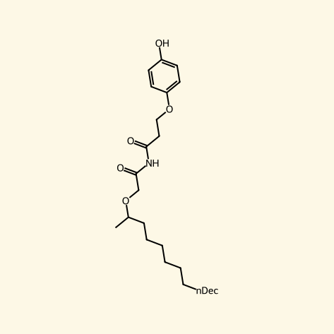 CCCCCCCCCCCCCCCCC(C)OCC(=O)NC(=O)CCOc1ccc(O)cc1